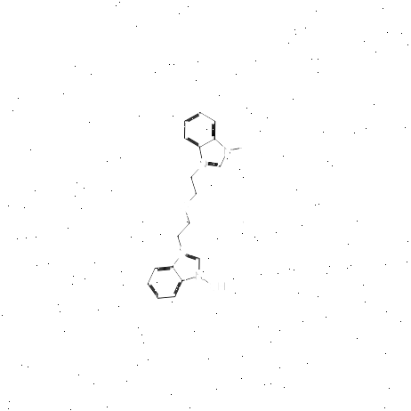 Cn1c[n+](CCOCC[n+]2cn(C)c3ccccc32)c2ccccc21.[Cl-].[Cl-]